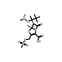 C[SiH](C)OC(C)([C@H]1C(=O)N2C(C(=O)O)=C(COS(C)(=O)=O)S[C@H]12)C(C)(C)C